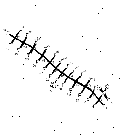 O=S(=O)([O-])C(F)(F)C(F)(F)C(F)(F)C(F)(F)C(F)(F)C(F)(F)C(F)(F)C(F)(F)C(F)(F)C(F)(F)C(F)(F)C(F)(F)F.[Na+]